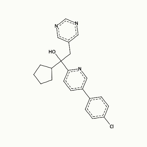 OC(Cc1cncnc1)(c1ccc(-c2ccc(Cl)cc2)cn1)C1CCCC1